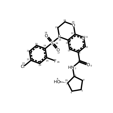 O=C(NC1CCC[C@@H]1O)c1cnc2c(c1)N(S(=O)(=O)c1ccc(Cl)cc1F)CCO2